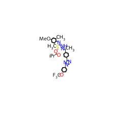 COc1cc(C)c(/N=C(/N/N=C(\C)c2ccc(-c3ncn(-c4ccc(OC(F)(F)F)cc4)n3)cc2)SCOC(=O)C(C)C)c(C)c1